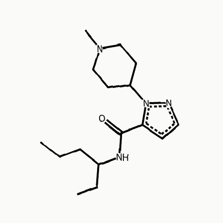 CCCC(CC)NC(=O)c1ccnn1C1CCN(C)CC1